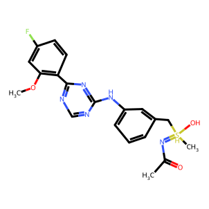 COc1cc(F)ccc1-c1ncnc(Nc2cccc(C[SH](C)(O)=NC(C)=O)c2)n1